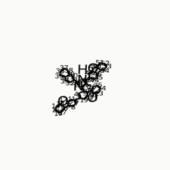 CC1=C(c2cc(-c3ccc4c(c3)oc3ccccc34)cc3oc4ccccc4c23)N=C(c2ccc3ccccc3c2)NC1c1ccc2c(c1)oc1ccccc12